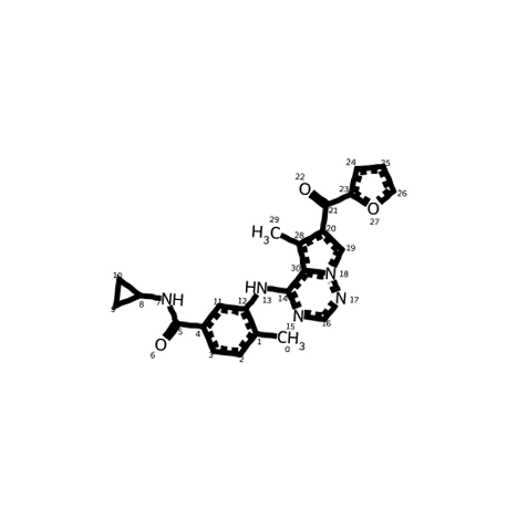 Cc1ccc(C(=O)NC2CC2)cc1Nc1ncnn2cc(C(=O)c3ccco3)c(C)c12